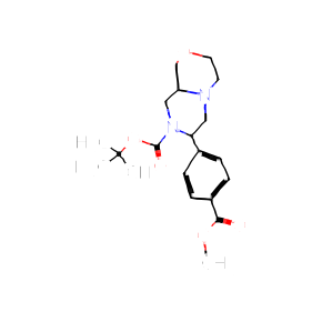 COC(=O)c1ccc(C2CN3CCOCC3CN2C(=O)OC(C)(C)C)cc1